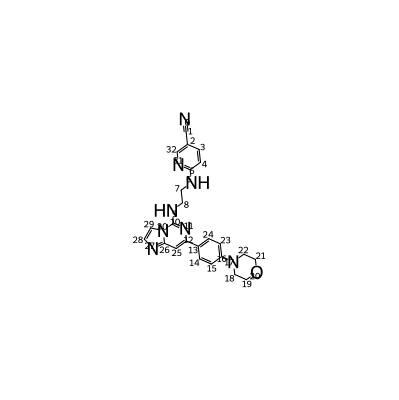 N#Cc1ccc(NCCNc2nc(-c3ccc(N4CCOCC4)cc3)cc3nccn23)nc1